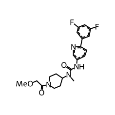 COCC(=O)N1CCC(N(C)C(=O)Nc2ccc(-c3cc(F)cc(F)c3)nc2)CC1